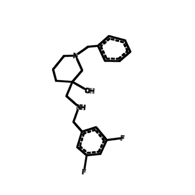 OC1(CNCc2cc(F)cc(F)c2)CCCN(Cc2ccccc2)C1